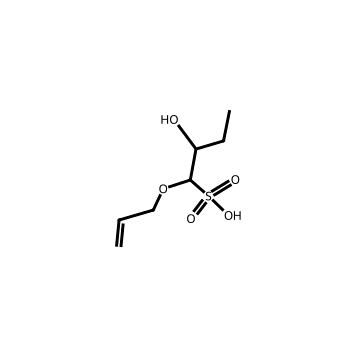 C=CCOC(C(O)CC)S(=O)(=O)O